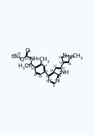 Cc1cc(-c2ncnc3[nH]c(-c4cnn(C)c4)cc23)ccc1C(C)NC(=O)OC(C)(C)C